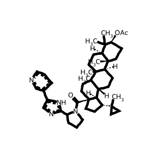 CC(=O)O[C@H]1CC[C@]2(C)[C@H]3CC[C@@H]4[C@H]5[C@H](C6(C)CC6)CC[C@]5(C(=O)N5CCCC5c5ncc(-c6cccnc6)[nH]5)CC[C@@]4(C)[C@]3(C)CC[C@H]2C1(C)C